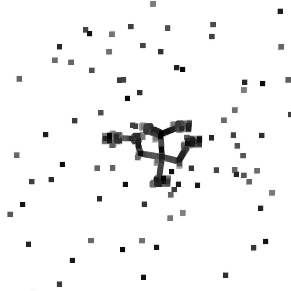 COCC(O)(CO)C(=O)O